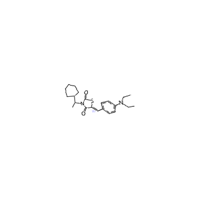 CCN(CC)c1ccc(/C=C2\SC(=O)N(C(C)C3CCCCC3)C2=O)cc1